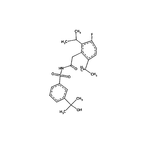 CC(C)c1ccc(F)c(C(C)C)c1CC(=O)NS(=O)(=O)c1cccc(C(C)(C)O)c1